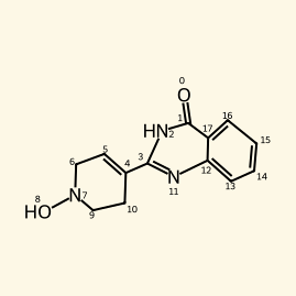 O=c1[nH]c(C2=CCN(O)CC2)nc2ccccc12